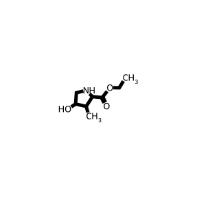 CCOC(=O)C1NCC(O)C1C